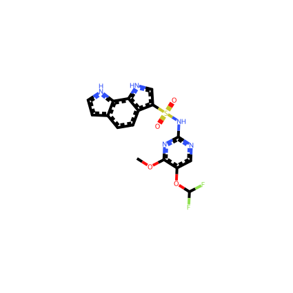 COc1nc(NS(=O)(=O)c2c[nH]c3c2ccc2cc[nH]c23)ncc1OC(F)F